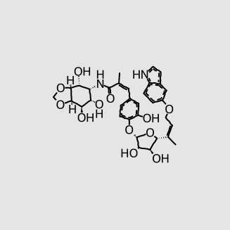 CC(=Cc1ccc(O[C@@H]2O[C@H](C(C)=CCOc3ccc4[nH]ccc4c3)[C@@H](O)[C@@H]2O)c(O)c1)C(=O)N[C@@H]1[C@H](O)[C@@H](O)[C@H]2OCO[C@H]2[C@@H]1O